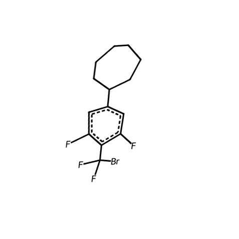 Fc1cc(C2CCCCCC2)cc(F)c1C(F)(F)Br